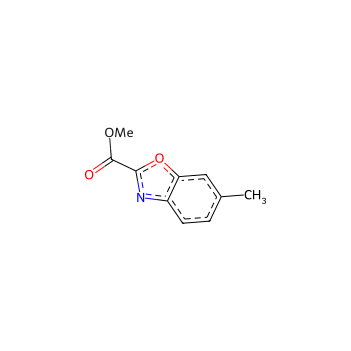 COC(=O)c1nc2ccc(C)cc2o1